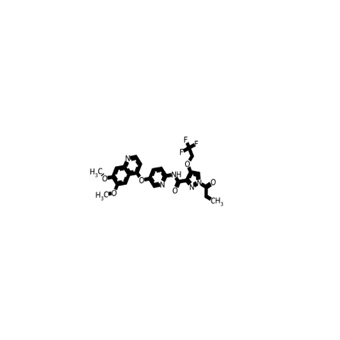 CCC(=O)n1cc(OCC(F)(F)F)c(C(=O)Nc2ccc(Oc3ccnc4cc(OC)c(OC)cc34)cn2)n1